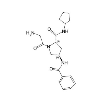 NCC(=O)N1C[C@H](NC(=O)c2ccccc2)C[C@H]1C(=O)NC1CCCC1